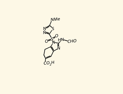 CNc1nnc(S(=O)(=O)n2c(NC=O)nc3c2CCC(C(=O)O)=C3)s1